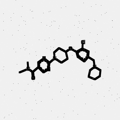 CN(C)C(=O)c1cnc(N2CCC(Oc3ccc(CN4CCCCC4)cc3Cl)CC2)nc1